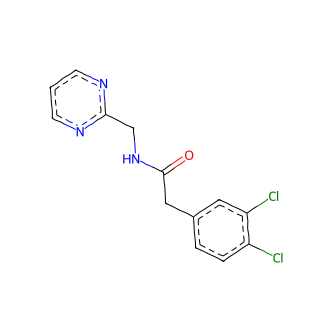 O=C(Cc1ccc(Cl)c(Cl)c1)NCc1ncccn1